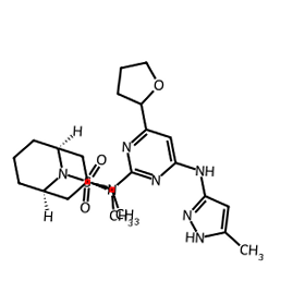 CCS(=O)(=O)N1[C@@H]2CCC[C@H]1C[C@@H](N(C)c1nc(Nc3cc(C)[nH]n3)cc(C3CCCO3)n1)C2